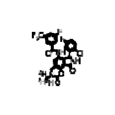 [2H]C([2H])([2H])N1Cc2cc(NC(=O)c3cc(F)cc(C(F)(F)F)c3)c3c(c2OC1=O)C(=O)N[C@@H]3c1cc(F)ccc1Cl